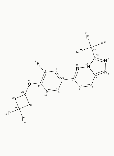 Fc1cc(-c2ccc3nnc(C(F)(F)F)n3n2)cnc1OC1CC(F)(F)C1